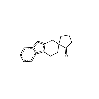 O=C1CCCC12CCn1c(cc3ccccc31)C2